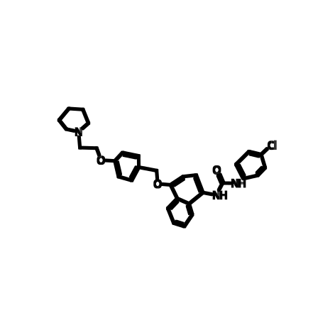 O=C(Nc1ccc(Cl)cc1)Nc1ccc(OCc2ccc(OCCN3CCCCC3)cc2)c2ccccc12